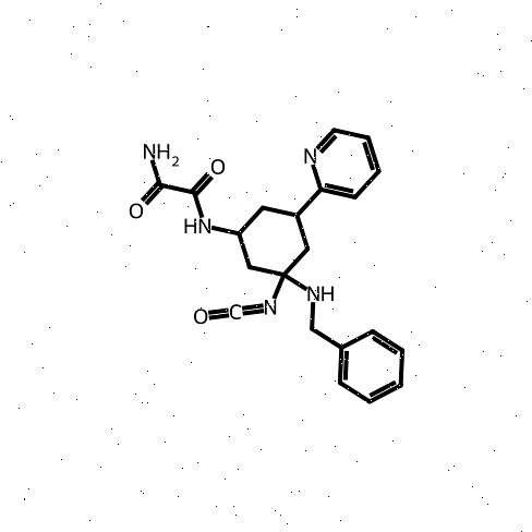 NC(=O)C(=O)NC1CC(c2ccccn2)CC(N=C=O)(NCc2ccccc2)C1